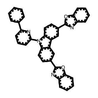 c1ccc(-c2cccc(-n3c4ccc(-c5nc6ccccc6o5)cc4c4cc(-c5nc6ccccc6o5)ccc43)n2)cc1